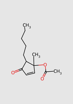 CCCCCC1C(=O)C=CC1(C)OC(C)=O